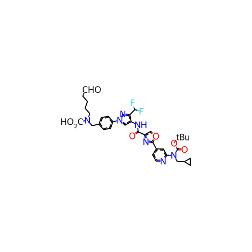 CC(C)(C)OC(=O)N(CC1CC1)c1cc(-c2nc(C(=O)Nc3cn(-c4ccc(CN(CCCCC=O)C(=O)O)cc4)nc3C(F)F)co2)ccn1